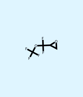 FC(F)(F)OC(F)(F)C1CO1